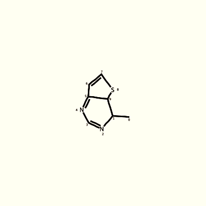 CC1N=CN=C2C=CSC21